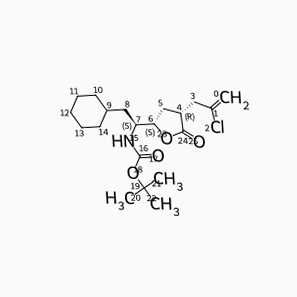 C=C(Cl)C[C@H]1C[C@@H]([C@H](CC2CCCCC2)NC(=O)OC(C)(C)C)OC1=O